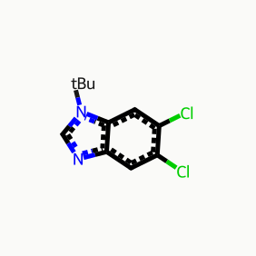 CC(C)(C)n1cnc2cc(Cl)c(Cl)cc21